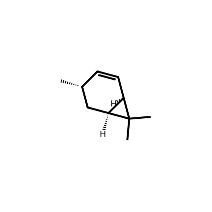 C[C@@H]1C=C[C@@H]2[C@H](C1)C2(C)C